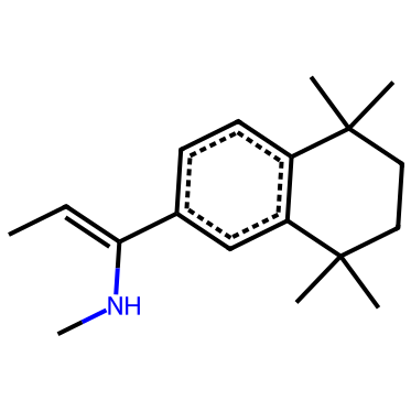 C/C=C(\NC)c1ccc2c(c1)C(C)(C)CCC2(C)C